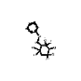 ClC1C(Cl)(Cl)CC(Cl)(Cl)C(CNc2ccccc2)C1(Cl)Cl